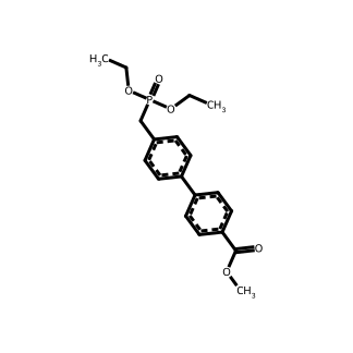 CCOP(=O)(Cc1ccc(-c2ccc(C(=O)OC)cc2)cc1)OCC